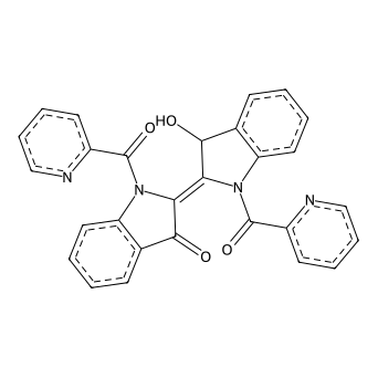 O=C1/C(=C2/C(O)c3ccccc3N2C(=O)c2ccccn2)N(C(=O)c2ccccn2)c2ccccc21